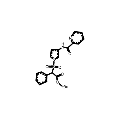 CC(C)(C)OC(=O)C(c1ccccc1)S(=O)(=O)n1ccc(NC(=O)c2ccccn2)c1